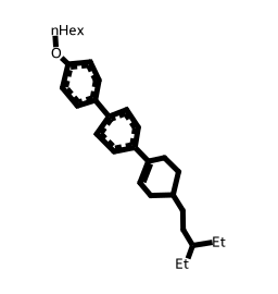 CCCCCCOc1ccc(-c2ccc(C3=CCC(CCC(CC)CC)CC3)cc2)cc1